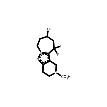 O=C(O)N1CCc2nn3c(c2C1)C(F)(F)CC(O)CC3